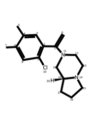 C=C(c1cc(C)c(C)cc1Cl)N1CCN2CCC[C@@H]2C1